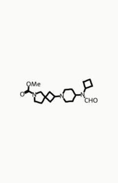 COC(=O)N1CCC2(CC(N3CCC(N(C=O)C4CCC4)CC3)C2)C1